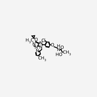 Cc1ccnc(Cn2c(-c3ccc(OCCNC(=O)[C@@H](C)O)cc3Cl)nc3c(OC4(C)CC4)ncnc32)c1